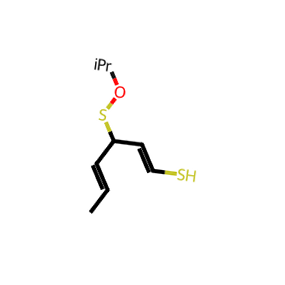 CC=CC(C=CS)SOC(C)C